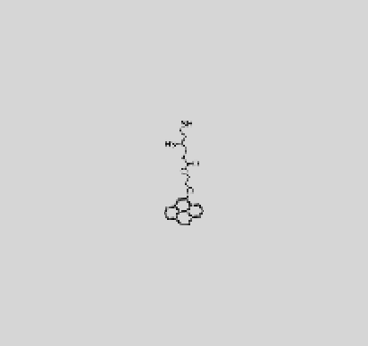 O=C(CCC(S)CCS)OCCOc1cc2cccc3ccc4cccc1c4c32